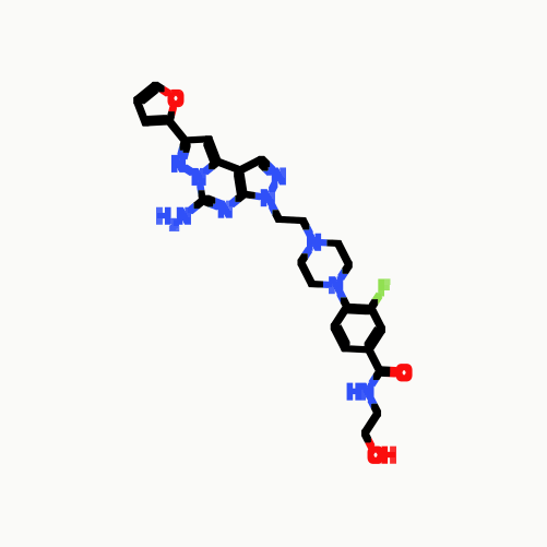 Nc1nc2c(cnn2CCN2CCN(c3ccc(C(=O)NCCO)cc3F)CC2)c2cc(-c3ccco3)nn12